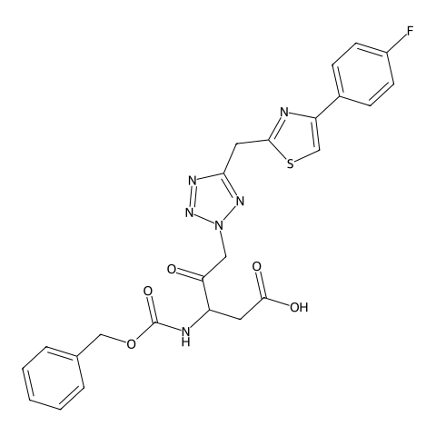 O=C(O)CC(NC(=O)OCc1ccccc1)C(=O)Cn1nnc(Cc2nc(-c3ccc(F)cc3)cs2)n1